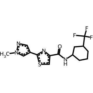 Cn1cc(-c2nc(C(=O)NC3CCCC(C(F)(F)F)C3)cs2)cn1